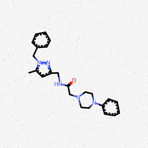 Cc1cc(CNC(=O)CN2CCN(c3ccccc3)CC2)nn1Cc1ccccc1